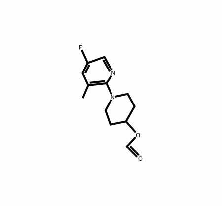 Cc1cc(F)cnc1N1CCC(OC=O)CC1